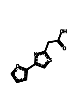 O=C(O)Cc1nc(-c2ccco2)cs1